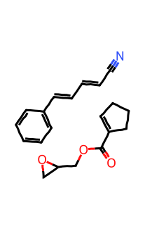 N#CC=CC=Cc1ccccc1.O=C(OCC1CO1)C1=CCCC1